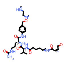 CNCCN(C)OCc1ccc(NC(=O)[C@H](CCCNC(N)=O)NC(=O)[C@@H](NC(=O)CCCCCNC(=O)/C=C\C=O)C(C)C)cc1